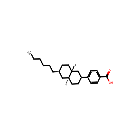 CCCCCC[C@H]1CC[C@@H]2CC(c3ccc(C(=O)O)cc3)CC[C@H]2C1